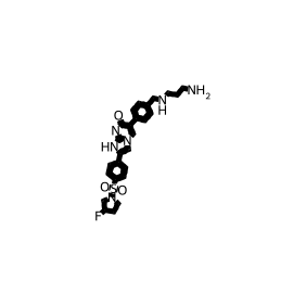 NCCCNCc1ccc(-c2cn3cc(-c4ccc(S(=O)(=O)N5CCC(F)C5)cc4)[nH]c3nc2=O)cc1